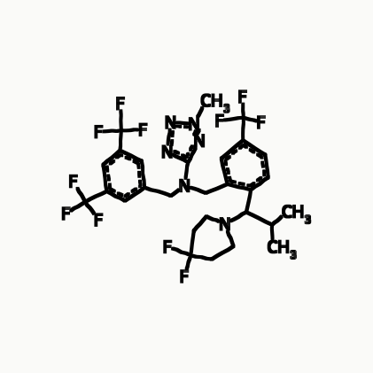 CC(C)C(c1ccc(C(F)(F)F)cc1CN(Cc1cc(C(F)(F)F)cc(C(F)(F)F)c1)c1nnn(C)n1)N1CCC(F)(F)CC1